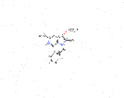 COc1cc2c(OC(=O)O)c(C(C)C)n(Cc3ccccc3)c2cn1